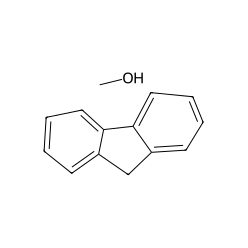 CO.c1ccc2c(c1)Cc1ccccc1-2